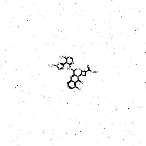 COC(=O)C1CC(n2c(C(C)Nc3ncnc(N)c3-c3nnn(C)n3)nc3cccc(Cl)c3c2=O)C1